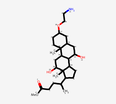 COC(=O)CCC(C)C1CCC2C3C(O)CC4CC(OCCN)CCC4(C)C3CC(O)C12C